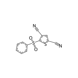 N#Cc1cc(C#N)c(S(=O)(=O)c2ccccc2)s1